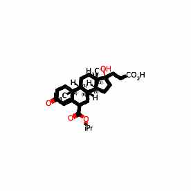 CC(C)OC(=O)C1C[C@@H]2[C@H](CC[C@@]3(C)[C@H]2CC[C@]3(O)CCC(=O)O)[C@@]2(C)CCC(=O)C=C12